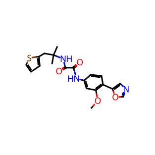 COc1cc(NC(=O)C(=O)NC(C)(C)Cc2cccs2)ccc1-c1cnco1